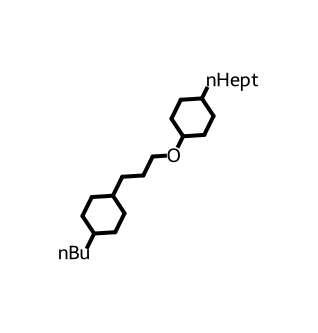 CCCCCCCC1CCC(OCCCC2CCC(CCCC)CC2)CC1